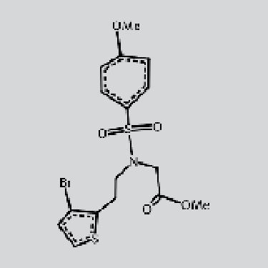 COC(=O)CN(CCc1sccc1Br)S(=O)(=O)c1ccc(OC)cc1